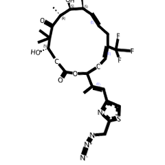 C/C(=C\c1csc(CN=[N+]=[N-])n1)C1C/C=C(/C(F)(F)F)C/C=C/[C@H](C)[C@H](O)[C@@H](C)C(=O)C(C)(C)[C@@H](O)CC(=O)O1